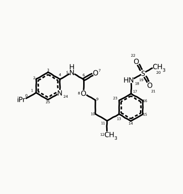 CC(C)c1ccc(NC(=O)OCCC(C)c2cccc(NS(C)(=O)=O)c2)nc1